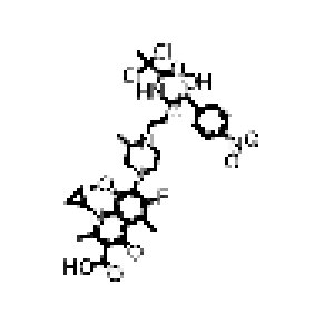 COc1c(N2CCN(CC[C@@H](NC(=O)C(C)(Cl)Cl)[C@H](O)c3ccc([N+](=O)[O-])cc3)C(C)C2)c(F)c(C)c2c(=O)c(C(=O)O)c(C)n(C3CC3)c12